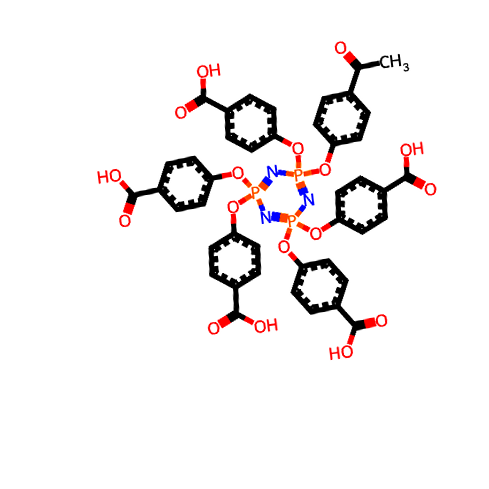 CC(=O)c1ccc(OP2(Oc3ccc(C(=O)O)cc3)=NP(Oc3ccc(C(=O)O)cc3)(Oc3ccc(C(=O)O)cc3)=NP(Oc3ccc(C(=O)O)cc3)(Oc3ccc(C(=O)O)cc3)=N2)cc1